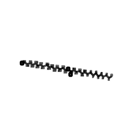 CCCCCCCCCCCCCCCC(=O)OCCCCCCCCCCCCCCCC=O